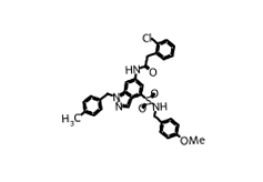 COc1ccc(CNS(=O)(=O)c2cc(NC(=O)Cc3ccccc3Cl)cc3c2cnn3Cc2ccc(C)cc2)cc1